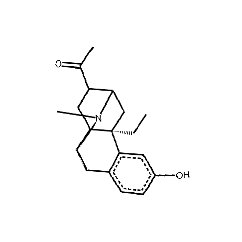 CC[C@@]12CC3C(C(C)=O)CC1C(Cc1ccc(O)cc12)N3C